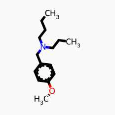 CCCCN(CCC)Cc1ccc(OC)cc1